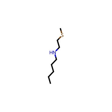 CCCCCNCCSC